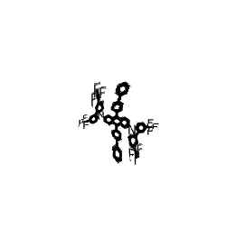 FC(F)(F)c1ccc2c(c1)c1cc(C(F)(F)F)ccc1n2-c1ccc2c(-c3ccc(-c4ccccc4)cc3)c3cc(-n4c5ccc(C(F)(F)F)cc5c5cc(C(F)(F)F)ccc54)ccc3c(-c3ccc(-c4ccccc4)cc3)c2c1